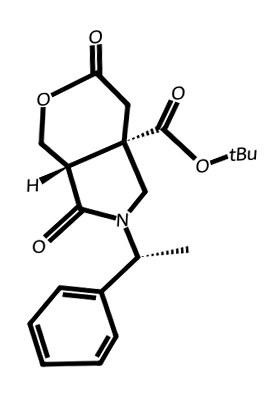 C[C@H](c1ccccc1)N1C[C@]2(C(=O)OC(C)(C)C)CC(=O)OC[C@H]2C1=O